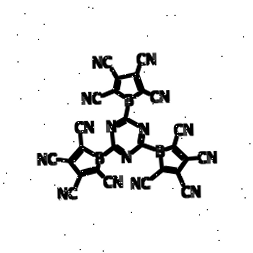 N#CC1=C(C#N)C(C#N)=C(C#N)B1c1nc(B2C(C#N)=C(C#N)C(C#N)=C2C#N)nc(B2C(C#N)=C(C#N)C(C#N)=C2C#N)n1